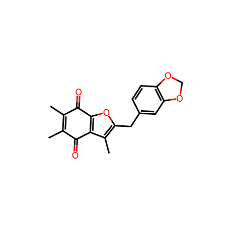 CC1=C(C)C(=O)c2c(oc(Cc3ccc4c(c3)OCO4)c2C)C1=O